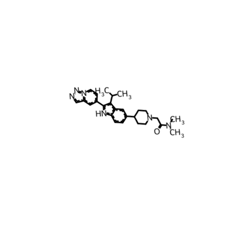 CC(C)c1c(-c2ccn3nncc3c2)[nH]c2ccc(C3CCN(CC(=O)N(C)C)CC3)cc12